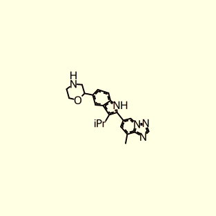 Cc1cc(-c2[nH]c3ccc(C4CNCCO4)cc3c2C(C)C)cn2ncnc12